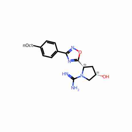 CCCCCCCCc1ccc(-c2noc([C@@H]3C[C@H](O)CN3C(=N)N)n2)cc1